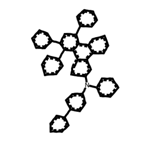 c1ccc(-c2ccc(N(c3ccccc3)c3ccc4c(c3)c3ccccc3c3c(-c5ccccc5)cc(-c5ccccc5)c(-c5ccccc5)c43)cc2)cc1